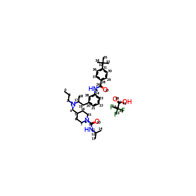 CCCN(CC1CCN(C(=O)NC(C)C)CC1)C(C)Cc1cccc(NC(=O)c2ccc(C(C)(C)C)cc2)c1.O=C(O)C(F)(F)F